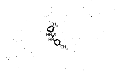 Cc1ccc(NC(=S)Nc2ccc(C)cc2)cc1